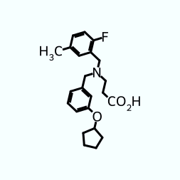 Cc1ccc(F)c(CN(CCC(=O)O)Cc2cccc(OC3CCCC3)c2)c1